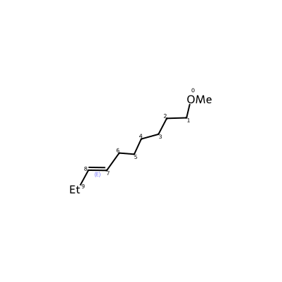 [CH2]OCCCCCC/C=C/CC